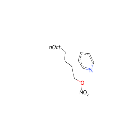 CCCCCCCCCCCCO[N+](=O)[O-].c1ccncc1